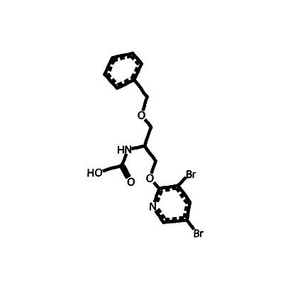 O=C(O)NC(COCc1ccccc1)COc1ncc(Br)cc1Br